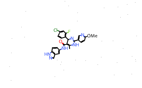 COc1ccc(C2=NC(c3ccc(Cl)cc3F)C(C(=O)Nc3ccc4[nH]ncc4c3)=C(C)N2)cn1